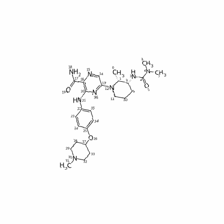 C[C@@H]1[C@H](NC(=O)N(C)C)CCCN1c1cnc(C(N)=O)c(Nc2ccc(OC3CCN(C)CC3)cc2)n1